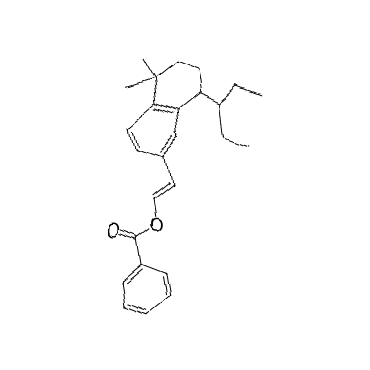 CCC(CC)C1CCC(C)(C)c2ccc(C=COC(=O)c3ccccc3)cc21